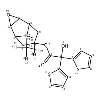 [2H]C1(OC(=O)C(O)(c2cccs2)c2cccs2)CC2C3OC3C(C1)[N+]2(C)C([2H])([2H])[2H]